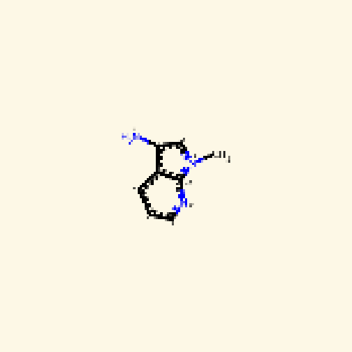 Cn1cc(N)c2cccnc21